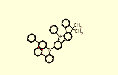 CC1(C)c2ccccc2-c2c1ccc1c3ccc(N(c4ccc(-c5ccccc5)cc4)c4ccccc4-c4ccccc4)cc3n(-c3ccccc3)c21